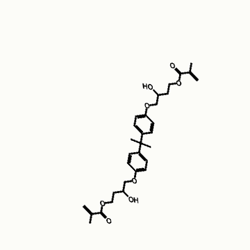 C=C(C)C(=O)OCCC(O)COc1ccc(C(C)(C)c2ccc(OCC(O)CCOC(=O)C(=C)C)cc2)cc1